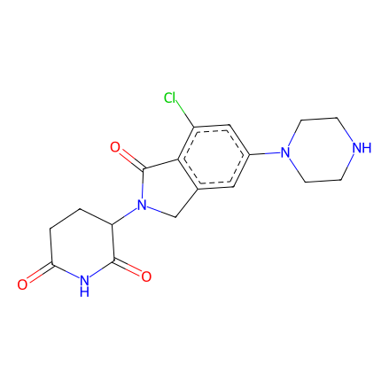 O=C1CCC(N2Cc3cc(N4CCNCC4)cc(Cl)c3C2=O)C(=O)N1